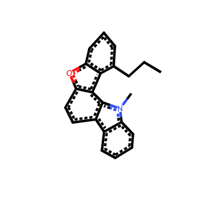 CCCc1cccc2oc3ccc4c5ccccc5n(C)c4c3c12